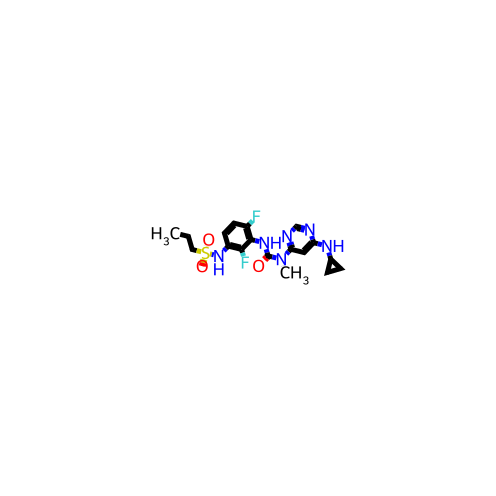 CCCS(=O)(=O)Nc1ccc(F)c(NC(=O)N(C)c2cc(NC3CC3)ncn2)c1F